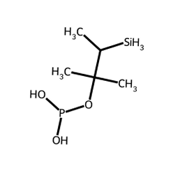 CC([SiH3])C(C)(C)OP(O)O